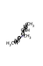 COc1ccc(NC(=O)N2CC/C(=C\c3cccc(Oc4ncc(C)cn4)c3)C(C)C2)cn1